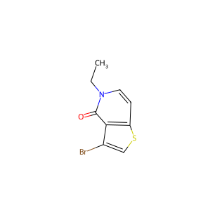 CCn1ccc2scc(Br)c2c1=O